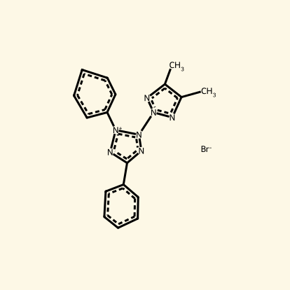 Cc1nn(-n2nc(-c3ccccc3)n[n+]2-c2ccccc2)nc1C.[Br-]